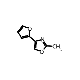 Cc1nc(-c2ccco2)co1